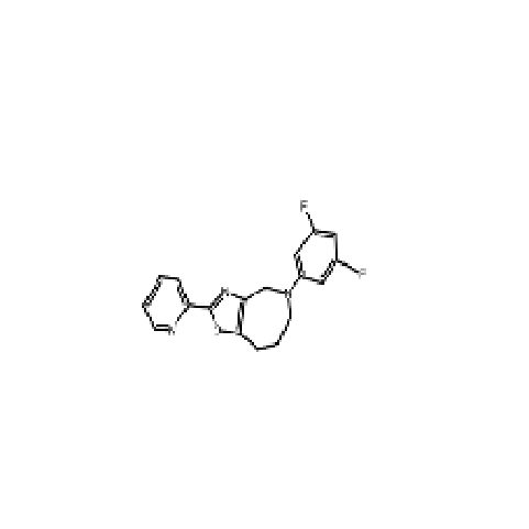 Fc1cc(F)cc(N2CCCc3oc(-c4ccccn4)nc3C2)c1